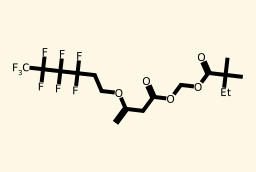 C=C(CC(=O)OCOC(=O)C(C)(C)CC)OCCC(F)(F)C(F)(F)C(F)(F)C(F)(F)F